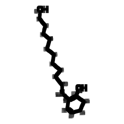 OCCCCCCCCCCSC1=C(O)CCC=C1